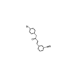 N#Cc1cccc(C=CC(=O)Cc2ccc(Br)cc2)c1